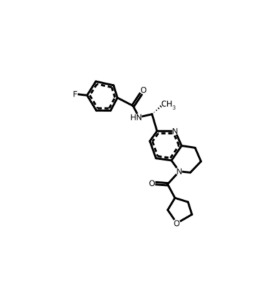 C[C@@H](NC(=O)c1ccc(F)cc1)c1ccc2c(n1)CCCN2C(=O)C1CCOC1